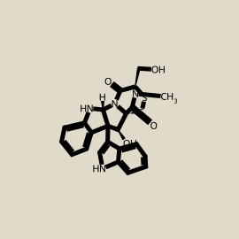 CN1C(=O)[C@]23SS[C@@]1(CO)C(=O)N2[C@H]1Nc2ccccc2C1(c1c[nH]c2ccccc12)[C@@H]3O